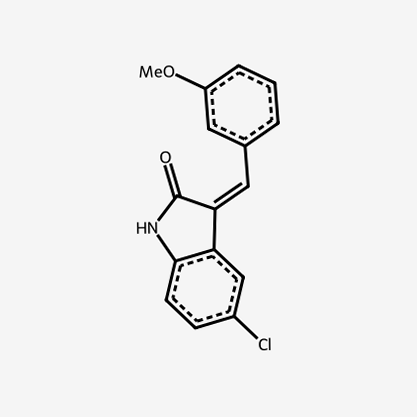 COc1cccc(C=C2C(=O)Nc3ccc(Cl)cc32)c1